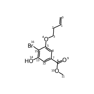 C=CCCOc1cc(C(=O)OC)cc(O)c1Br